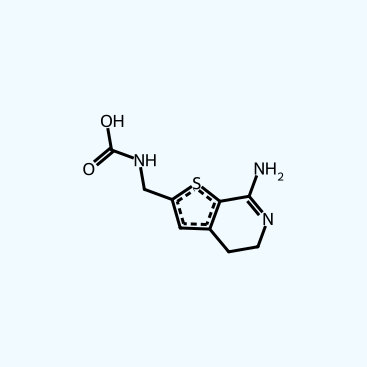 NC1=NCCc2cc(CNC(=O)O)sc21